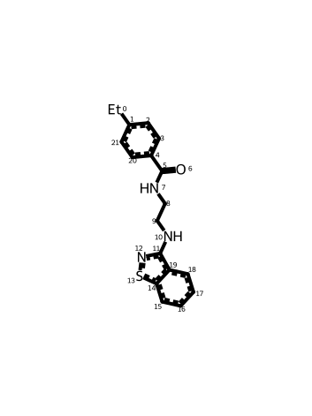 CCc1ccc(C(=O)NCCNc2nsc3ccccc23)cc1